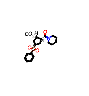 O=C(O)[C@@H]1C[C@H](S(=O)(=O)c2ccccc2)C[C@H]1C(=O)N1CCCCC1